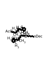 CC(=O)OCC=C(C)C=CC=C(C)C=CC1=C(C)CCCC1(C)C.CCCCCCCCCCCCCCCC(=O)OCC=C(C)C=CC=C(C)C=CC1=C(C)CCCC1(C)C